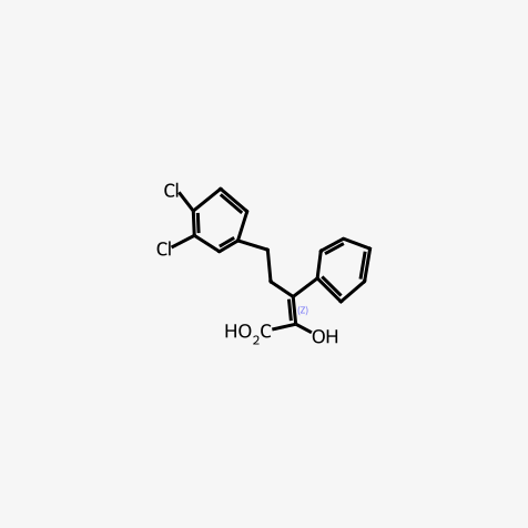 O=C(O)/C(O)=C(\CCc1ccc(Cl)c(Cl)c1)c1ccccc1